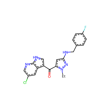 CCn1nc(NCc2ccc(F)cc2)cc1C(=O)c1c[nH]c2ncc(Cl)cc12